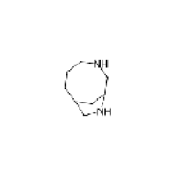 C1CNCC2CC(C1)CN2